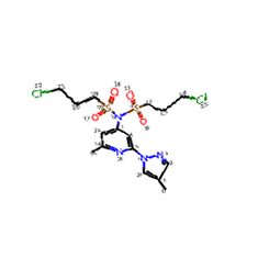 Cc1cnn(-c2cc(N(S(=O)(=O)CCCCl)S(=O)(=O)CCCCl)cc(C)n2)c1